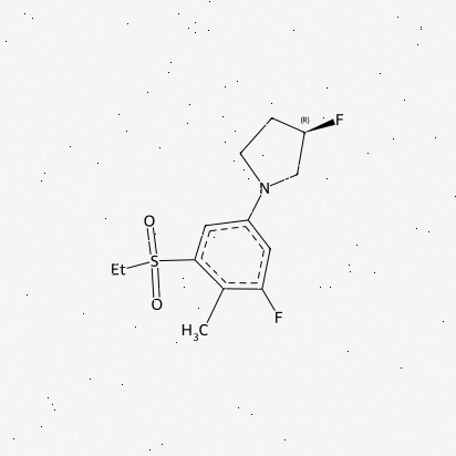 CCS(=O)(=O)c1cc(N2CC[C@@H](F)C2)cc(F)c1C